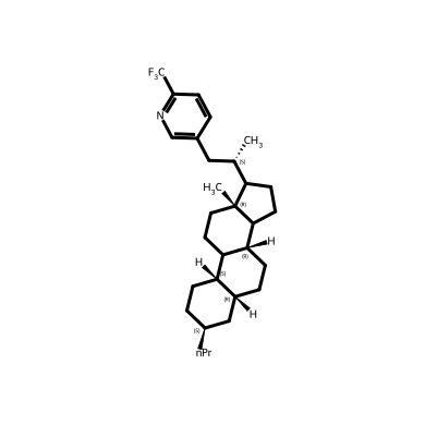 CCC[C@H]1CC[C@@H]2C3CC[C@@]4(C)C(CCC4[C@@H](C)Cc4ccc(C(F)(F)F)nc4)[C@@H]3CC[C@@H]2C1